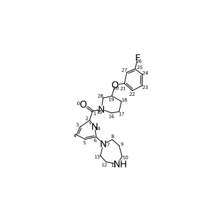 O=C(c1cccc(N2CCCNCC2)n1)N1CCCC(Oc2cccc(F)c2)C1